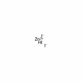 I.[I-].[I-].[Zn+2]